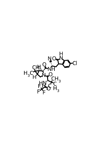 CC(C)(C)[C@H](NC(=O)C(F)(F)F)C(=O)N1C[C@H]2[C@H]([C@H]1C(=O)N[C@H](C#N)CC1C(=O)Nc3cc(Cl)ccc31)C2(C)C